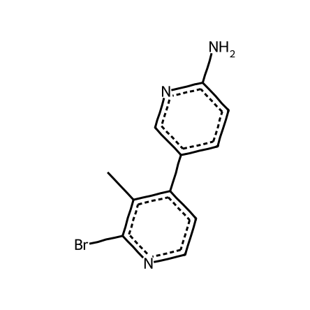 Cc1c(-c2ccc(N)nc2)ccnc1Br